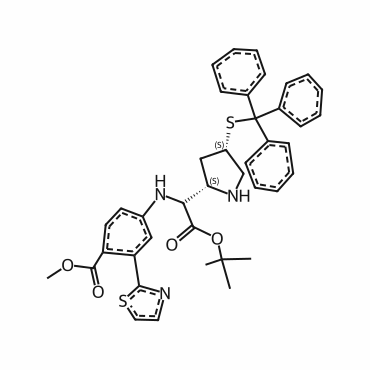 COC(=O)c1ccc(NC(C(=O)OC(C)(C)C)[C@@H]2C[C@H](SC(c3ccccc3)(c3ccccc3)c3ccccc3)CN2)cc1-c1nccs1